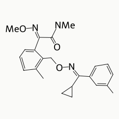 CNC(=O)/C(=N/OC)c1cccc(C)c1CO/N=C(/c1cccc(C)c1)C1CC1